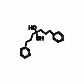 OC(O)(CCCc1ccccc1)CCCc1ccccc1